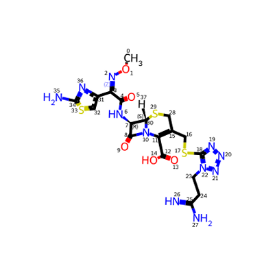 CO/N=C(\C(=O)N[C@@H]1C(=O)N2C(C(=O)O)=C(CSc3nnnn3CCC(=N)N)CS[C@@H]12)c1csc(N)n1